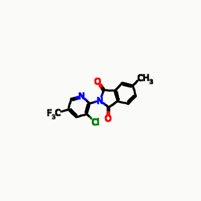 Cc1ccc2c(c1)C(=O)N(c1ncc(C(F)(F)F)cc1Cl)C2=O